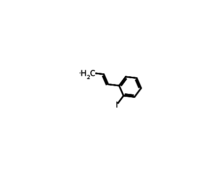 [CH2]C=Cc1ccccc1I